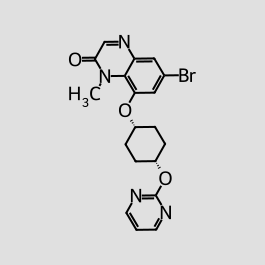 Cn1c(=O)cnc2cc(Br)cc(O[C@H]3CC[C@@H](Oc4ncccn4)CC3)c21